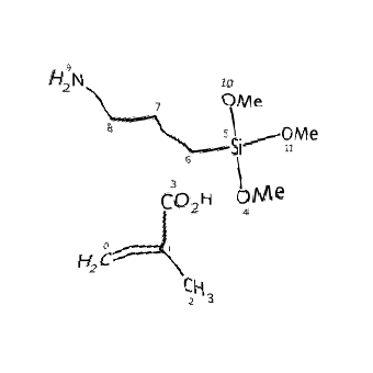 C=C(C)C(=O)O.CO[Si](CCCN)(OC)OC